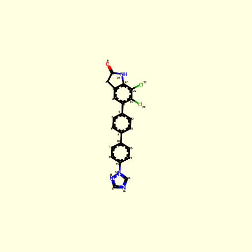 O=C1Cc2cc(-c3ccc(-c4ccc(-n5cncn5)cc4)cc3)c(Cl)c(Cl)c2N1